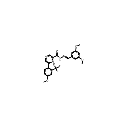 COc1cc(C=NNC(=O)c2cncc(-c3ccc(OC)cc3C(F)(F)F)n2)cc(OC)c1